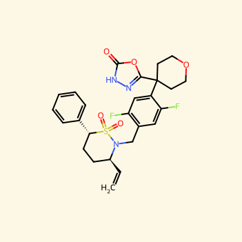 C=C[C@H]1CC[C@H](c2ccccc2)S(=O)(=O)N1Cc1cc(F)c(C2(c3n[nH]c(=O)o3)CCOCC2)cc1F